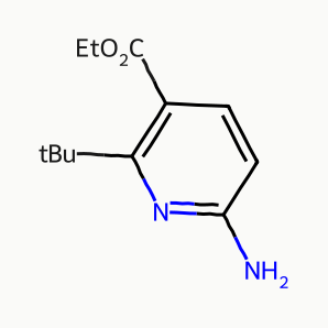 CCOC(=O)c1ccc(N)nc1C(C)(C)C